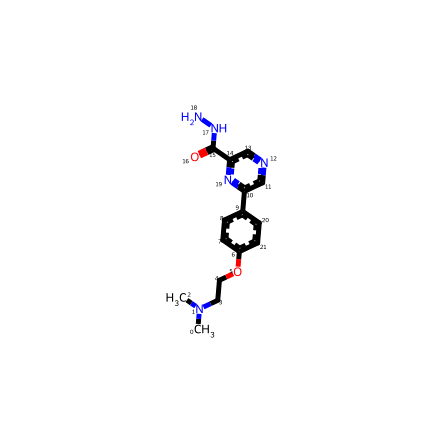 CN(C)CCOc1ccc(-c2cncc(C(=O)NN)n2)cc1